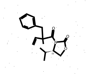 C=CC(C)(Cc1ccccc1)C(=O)N1C(=O)OC[C@@H]1C(C)C